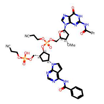 CO[C@H]1C[C@H](n2cnc3c(=O)[nH]c(NC(=O)C(C)C)nc32)O[C@@H]1COP(=O)(OCCC#N)O[C@H]1C[C@H](n2ccc3c(NC(=O)c4ccccc4)ncnc32)C[C@@H]1COP(=O)(O)OCCC#N